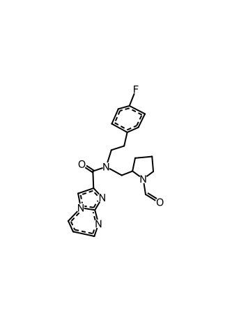 O=CN1CCCC1CN(CCc1ccc(F)cc1)C(=O)c1cn2cccnc2n1